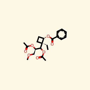 CC[C@]1(C(OC(C)=O)[C@@H](COC)OC(C)=O)CC[C@@H]1OC(=O)c1ccccc1